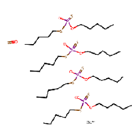 CCCCCOP([O-])(=S)SCCCCC.CCCCCOP([O-])(=S)SCCCCC.CCCCCOP([O-])(=S)SCCCCC.CCCCCOP([O-])(=S)SCCCCC.O=S.[Mo+4]